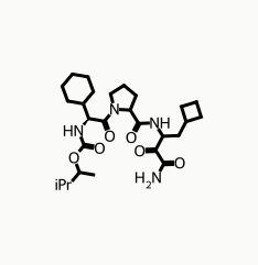 CC(C)C(C)OC(=O)N[C@H](C(=O)N1CCCC1C(=O)NC(CC1CCC1)C(=O)C(N)=O)C1CCCCC1